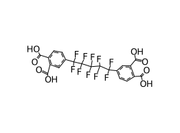 O=C(O)c1ccc(C(F)(F)C(F)(F)C(F)(F)C(F)(F)C(F)(F)c2ccc(C(=O)O)c(C(=O)O)c2)cc1C(=O)O